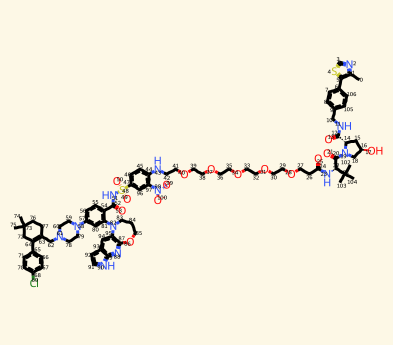 Cc1ncsc1-c1ccc(CNC(=O)[C@@H]2C[C@@H](O)CN2C(=O)[C@@H](NC(=O)CCOCCOCCOCCOCCOCCNc2ccc(S(=O)(=O)NC(=O)c3ccc(N4CCN(CC5=C(c6ccc(Cl)cc6)CC(C)(C)CC5)CC4)cc3N3CCCOc4nc5[nH]ccc5cc43)cc2[N+](=O)[O-])C(C)(C)C)cc1